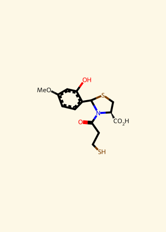 COc1ccc(C2SC[C@@H](C(=O)O)N2C(=O)CCS)c(O)c1